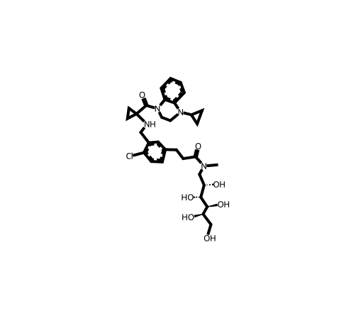 CN(C[C@H](O)[C@@H](O)[C@@H](O)[C@H](O)CO)C(=O)CCc1ccc(Cl)c(CNC2(C(=O)N3CCN(C4CC4)c4ccccc43)CC2)c1